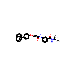 CC(C)NC(=O)c1cccc(NC(=O)C=COc2ccc(C34CC5CC(CC(C5)C3)C4)cc2)c1